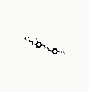 C=CCOc1c(F)cc(C=NN=Cc2ccc(C)cc2)cc1F